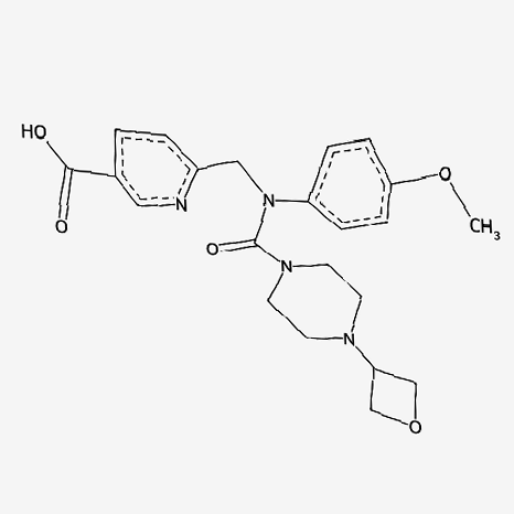 COc1ccc(N(Cc2ccc(C(=O)O)cn2)C(=O)N2CCN(C3COC3)CC2)cc1